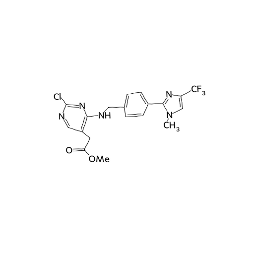 COC(=O)Cc1cnc(Cl)nc1NCc1ccc(-c2nc(C(F)(F)F)cn2C)cc1